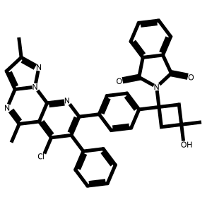 Cc1cc2nc(C)c3c(Cl)c(-c4ccccc4)c(-c4ccc(C5(N6C(=O)c7ccccc7C6=O)CC(C)(O)C5)cc4)nc3n2n1